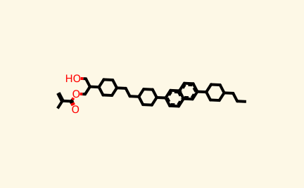 C=C(C)C(=O)OCC(CO)C1CCC(CCC2CCC(c3ccc4cc(C5CCC(CCC)CC5)ccc4c3)CC2)CC1